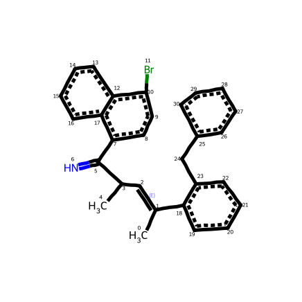 C/C(=C\C(C)C(=N)c1ccc(Br)c2ccccc12)c1ccccc1Cc1ccccc1